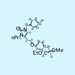 CCCn1c(CCOc2ccc(CC(C)(OC)C(=O)OCC)cc2)cn(Cc2ccc(C)cc2)c1=O